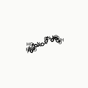 Cn1c(=O)n(C2CCC(=O)NC2=O)c2cccc(CN3CCOC4(CCN(C[C@H]5CC[C@H](n6cc7cc(NC(=O)c8cccc(C(F)(F)F)n8)c(C(C)(C)O)cc7n6)CC5)CC4)C3)c21